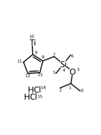 CC(C)O[Si](C)(C)CC1=[C]([Ti])CC=C1.Cl.Cl